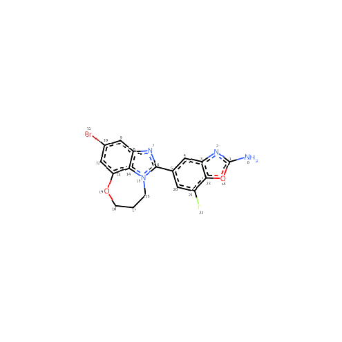 Nc1nc2cc(-c3nc4cc(Br)cc5c4n3CCCO5)cc(F)c2o1